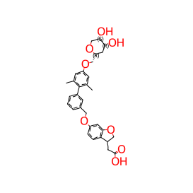 Cc1cc(OC[C@H]2C[C@@H](O)[C@@H](O)CO2)cc(C)c1-c1cccc(COc2ccc3c(c2)OCC3CC(=O)O)c1